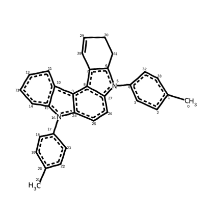 Cc1ccc(-n2c3c(c4c5c6ccccc6n(-c6ccc(C)cc6)c5ccc42)C=CCC3)cc1